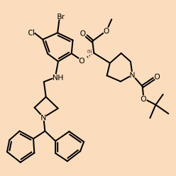 COC(=O)[C@@H](Oc1cc(Br)c(Cl)cc1NCC1CN(C(c2ccccc2)c2ccccc2)C1)C1CCN(C(=O)OC(C)(C)C)CC1